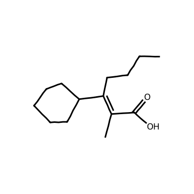 CCCC/C(=C(/C)C(=O)O)C1CCCCC1